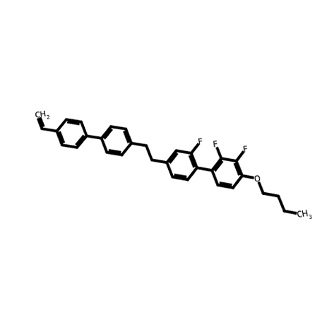 C=Cc1ccc(-c2ccc(CCc3ccc(-c4ccc(OCCCC)c(F)c4F)c(F)c3)cc2)cc1